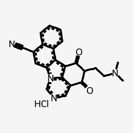 CN(C)CCC1C(=O)c2cncn3c2c(c2c4ccccc4c(C#N)cc23)C1=O.Cl